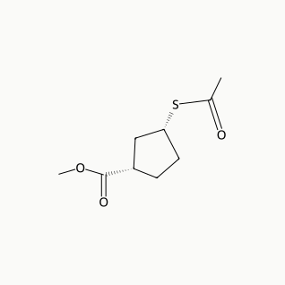 COC(=O)[C@H]1CC[C@@H](SC(C)=O)C1